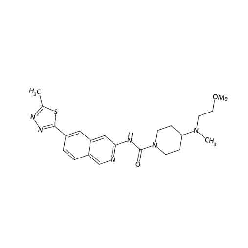 COCCN(C)C1CCN(C(=O)Nc2cc3cc(-c4nnc(C)s4)ccc3cn2)CC1